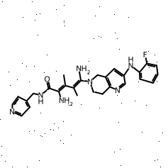 CC(=C(/N)C(=O)NCc1ccncc1)/C(C)=C(\N)N1CCc2ncc(Nc3ccccc3F)cc2C1